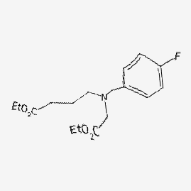 CCOC(=O)CCCN(CC(=O)OCC)c1ccc(F)cc1